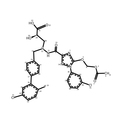 CC(=O)OCOc1nc(C(=O)NN(Cc2ccc(-c3cc(Cl)ccc3F)cc2)C[C@@H](O)C(=O)O)nn1-c1cccc(Cl)c1